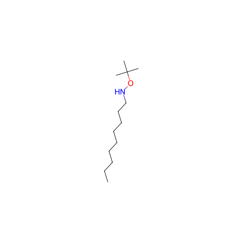 CCCCCCCCCNOC(C)(C)C